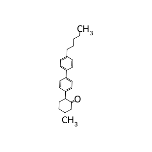 CCCCCc1ccc(-c2ccc([C@@H]3CC[C@@H](C)CC3=O)cc2)cc1